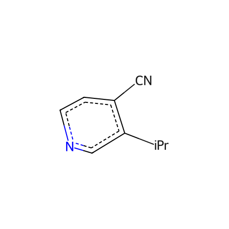 CC(C)c1cnccc1C#N